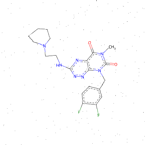 Cn1c(=O)c2nc(NCCN3CCCCC3)nnc2n(Cc2ccc(F)c(F)c2)c1=O